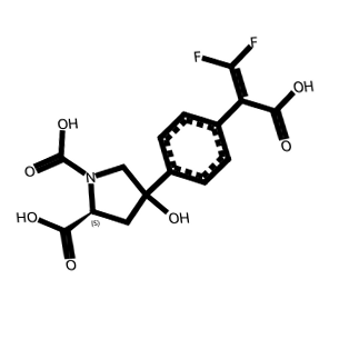 O=C(O)C(=C(F)F)c1ccc(C2(O)C[C@@H](C(=O)O)N(C(=O)O)C2)cc1